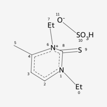 CCn1ccc(C)[n+](CC)c1=S.O=S(=O)([O-])O